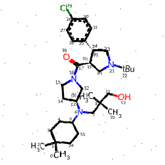 CC1(C)CCC(N(CC(C)(C)CO)[C@H]2CCN(C(=O)[C@@H]3CN(C(C)(C)C)C[C@H]3c3ccc(Cl)cc3)C2)CC1